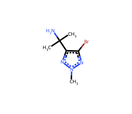 Cn1nc(Br)c(C(C)(C)N)n1